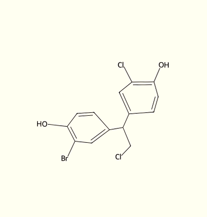 Oc1ccc(C(CCl)c2ccc(O)c(Br)c2)cc1Cl